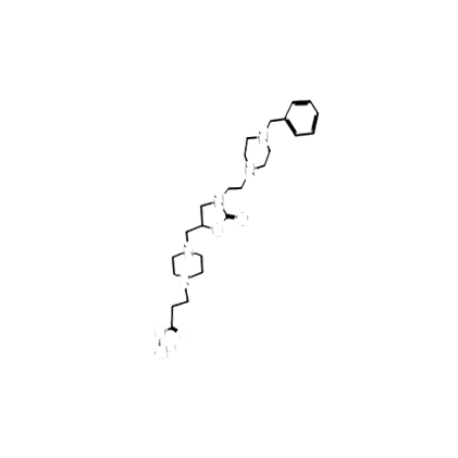 COC(=O)CCN1CCN(CC2CN(CCN3CCN(Cc4ccccc4)CC3)C(=O)O2)CC1